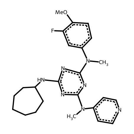 COc1ccc(N(C)c2nc(NC3CCCCCC3)nc(N(C)c3ccncc3)n2)cc1F